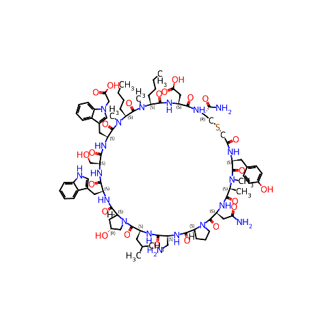 CCCC[C@H]1C(=O)N(C)[C@@H](CCCC)C(=O)N[C@@H](CC(=O)O)C(=O)N[C@H](C(N)=O)CSCC(=O)N[C@@H](Cc2ccc(O)cc2)C(=O)N(C)[C@@H](C)C(=O)N[C@@H](CC(N)=O)C(=O)N2CCC[C@H]2C(=O)N[C@@H](CN)C(=O)N[C@@H](CC(C)C)C(=O)N2C[C@H](O)C[C@H]2C(=O)N[C@@H](Cc2c[nH]c3ccccc23)C(=O)N[C@@H](CO)C(=O)N[C@@H](Cc2cn(CC(=O)O)c3ccccc23)C(=O)N1C